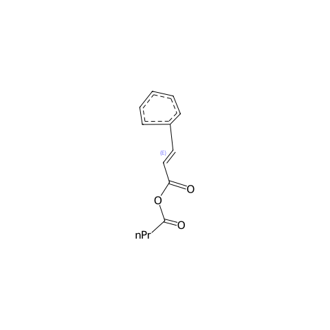 CCCC(=O)OC(=O)/C=C/c1ccccc1